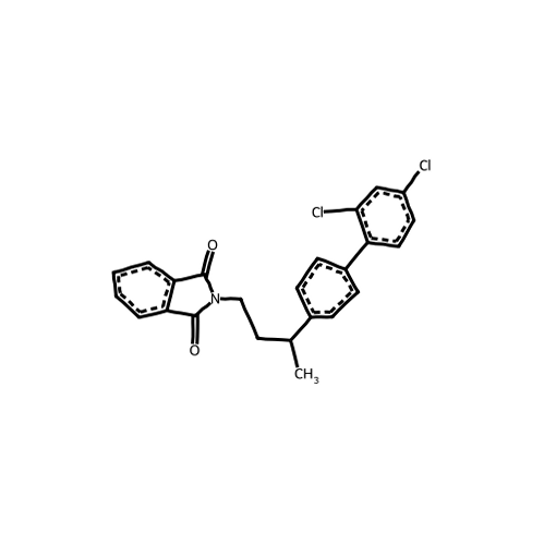 CC(CCN1C(=O)c2ccccc2C1=O)c1ccc(-c2ccc(Cl)cc2Cl)cc1